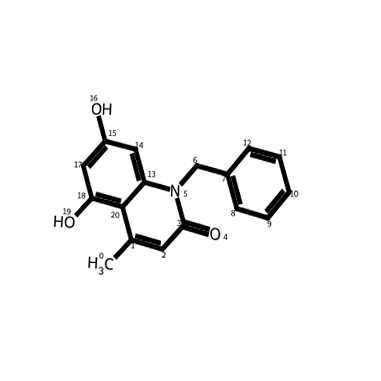 Cc1cc(=O)n(Cc2ccccc2)c2cc(O)cc(O)c12